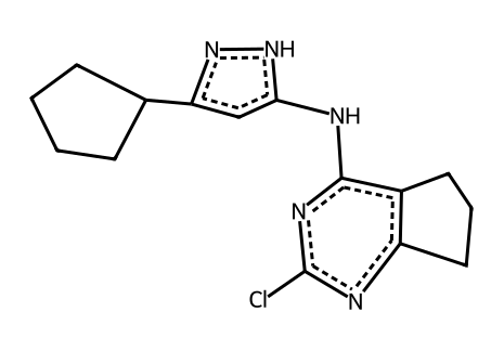 Clc1nc2c(c(Nc3cc(C4CCCC4)n[nH]3)n1)CCC2